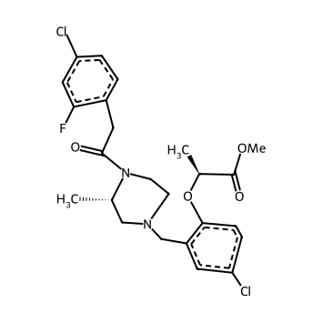 COC(=O)[C@H](C)Oc1ccc(Cl)cc1CN1CCN(C(=O)Cc2ccc(Cl)cc2F)[C@@H](C)C1